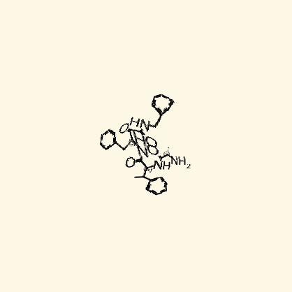 CC(c1ccccc1)[C@H](NC(=O)[C@H](C)N)C(=O)N[C@@H](Cc1ccccc1)C(=O)C(=O)NCc1ccccc1